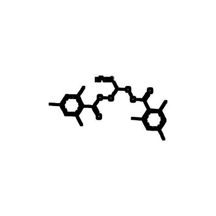 [CH2]CCCC[C](OOC(=O)c1c(C)cc(C)cc1C)OOC(=O)c1c(C)cc(C)cc1C